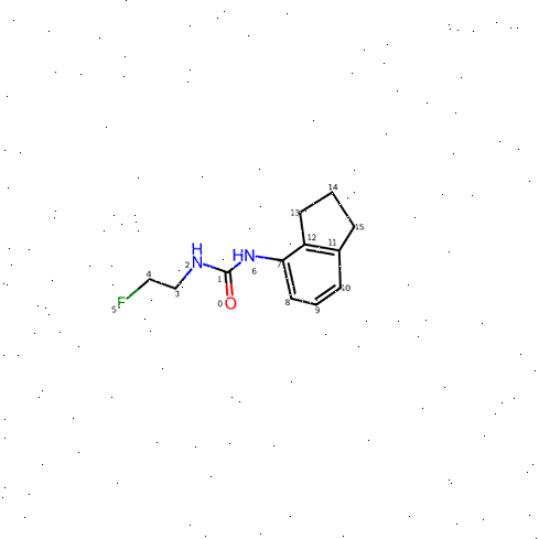 O=C(NCCF)Nc1cccc2c1CCC2